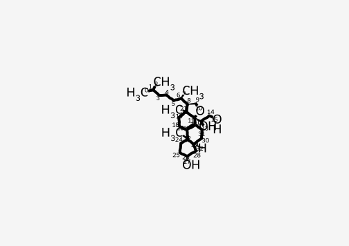 CC(C)CCC[C@@H](C)[C@H]1CO[C@]2(C(O)CO)C3=C(CC[C@]12C)[C@@]1(C)CC[C@H](O)C[C@@H]1CC3